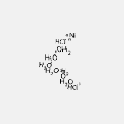 Cl.Cl.O.O.O.O.O.O.[Ni]